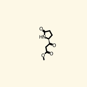 COC(=O)CC(=O)[C@@H]1CCC(=O)N1